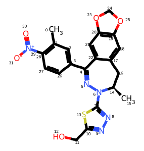 Cc1cc(C2=NN(c3nnc(CO)s3)[C@H](C)Cc3cc4c(cc32)OCO4)ccc1[N+](=O)[O-]